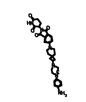 Nc1ccc(N2CCN(C3CC4(CCN(c5ccc6c(c5)C(=O)N(C5CCC(=O)NC5=O)C6=O)CC4)C3)CC2)cc1